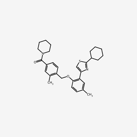 Cc1ccc(OCc2ccc(C(=O)N3CCCCC3)cc2C)c(-c2csc(C3CCCCC3)n2)c1